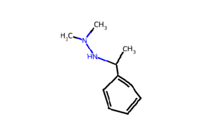 CC(NN(C)C)c1ccccc1